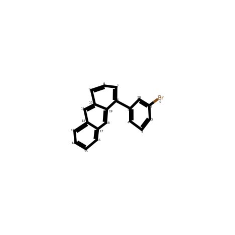 Brc1cccc(-c2cccc3cc4ccccc4cc23)c1